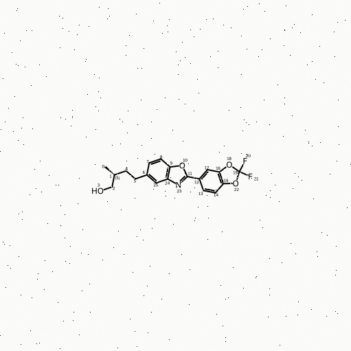 C[C@H](CO)CCc1ccc2oc(-c3ccc4c(c3)OC(F)(F)O4)nc2c1